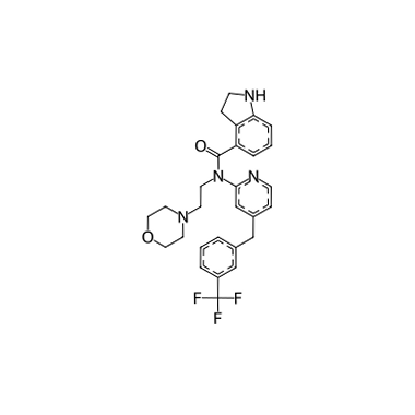 O=C(c1cccc2c1CCN2)N(CCN1CCOCC1)c1cc(Cc2cccc(C(F)(F)F)c2)ccn1